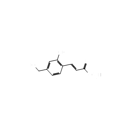 O=C(O)C(=O)C=Cc1ccc(CO)cc1O